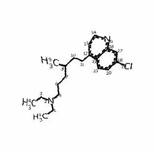 CCN(CC)CCCC(C)CCc1ccnc2cc(Cl)ccc12